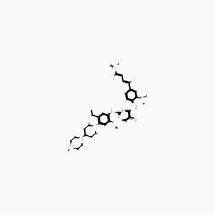 CCc1cc(Nc2ncc(Br)c(Nc3ccc(/C(N)=C/C=C(\N)N(C)C)cc3P(C)C)n2)c(OC)cc1N1CCC(N2CCN(C)CC2)CC1